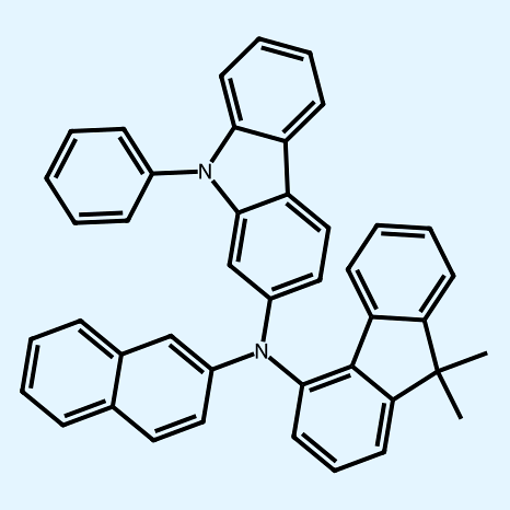 CC1(C)c2ccccc2-c2c(N(c3ccc4ccccc4c3)c3ccc4c5ccccc5n(-c5ccccc5)c4c3)cccc21